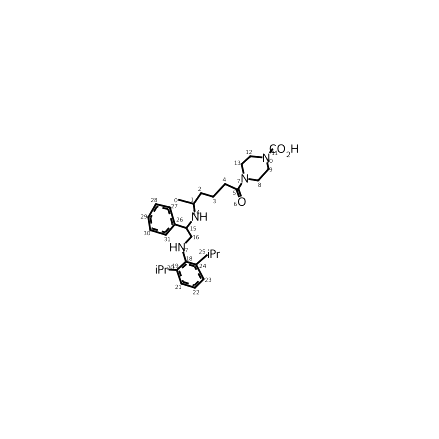 CC(CCCC(=O)N1CCN(C(=O)O)CC1)NC(CNc1c(C(C)C)cccc1C(C)C)c1ccccc1